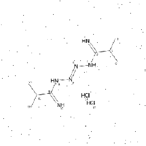 CC(C)C(=N)NN=NNC(=N)C(C)C.Cl.Cl